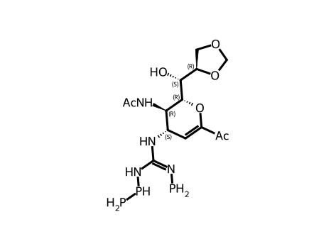 CC(=O)N[C@H]1[C@H]([C@H](O)[C@H]2COCO2)OC(C(C)=O)=C[C@@H]1NC(=NP)NPP